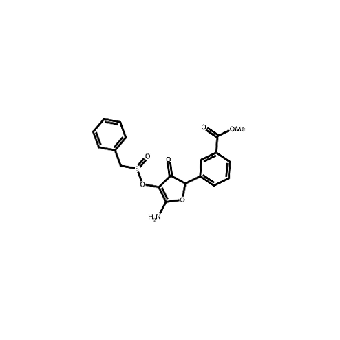 COC(=O)c1cccc(C2OC(N)=C(OS(=O)Cc3ccccc3)C2=O)c1